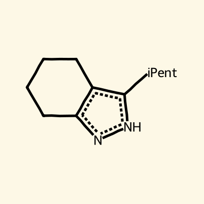 CCCC(C)c1[nH]nc2c1CCCC2